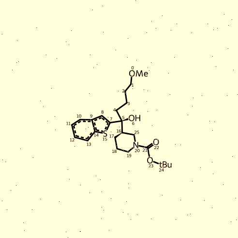 COCCCC[C@@](O)(c1cc2ccccc2s1)[C@@H]1CCCN(C(=O)OC(C)(C)C)C1